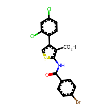 O=C(Nc1scc(-c2ccc(Cl)cc2Cl)c1C(=O)O)c1ccc(Br)cc1